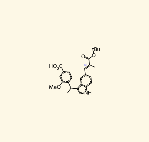 COc1cc(C(=O)O)ccc1C(C)c1c[nH]c2ccc(/C=C(\C)C(=O)OC(C)(C)C)cc12